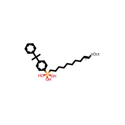 CCCCCCCC/C=C/CCCCCCCCP(O)(O)(O)c1ccc(C(C)(C)c2ccccc2)cc1